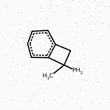 CC1(P)Cc2ccccc21